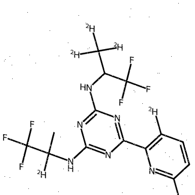 [2H]c1ccc(Cl)nc1-c1nc(NC(C([2H])([2H])[2H])C(F)(F)F)nc(NC([2H])(C)C(F)(F)F)n1